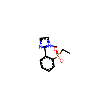 CCS(=O)(=O)c1ccccc1-c1nccn1C